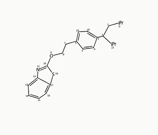 CC(C)CC(c1ccc(CCOc2nc3ccccc3s2)cc1)C(C)C